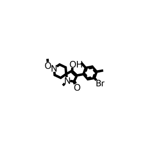 CON1CCC2(CC1)C(O)=C(c1cc(Br)c(C)cc1C)C(=O)N2C